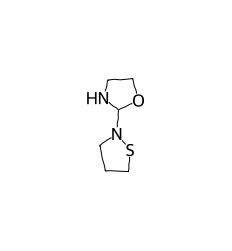 C1CSN(C2NCCO2)C1